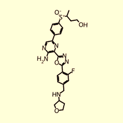 CC(CCO)[S+]([O-])c1ccc(-c2cnc(N)c(-c3nnc(-c4ccc(CNC5CCOC5)cc4F)o3)n2)cc1